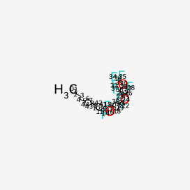 CCCCCC1CCC(C2CCC(C(F)(F)Oc3ccc(C(F)(F)Oc4cc(F)c(OC(F)=C(F)F)c(F)c4)cc3)CC2)CC1